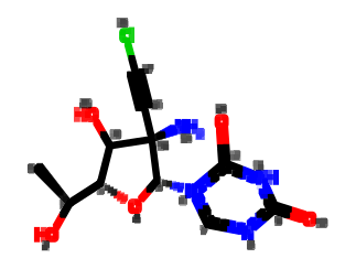 C[C@H](O)[C@H]1O[C@@H](n2cnc(=O)[nH]c2=O)[C@@](N)(C#CCl)C1O